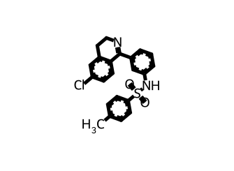 Cc1ccc(S(=O)(=O)Nc2cccc(C3=NCCc4cc(Cl)ccc43)c2)cc1